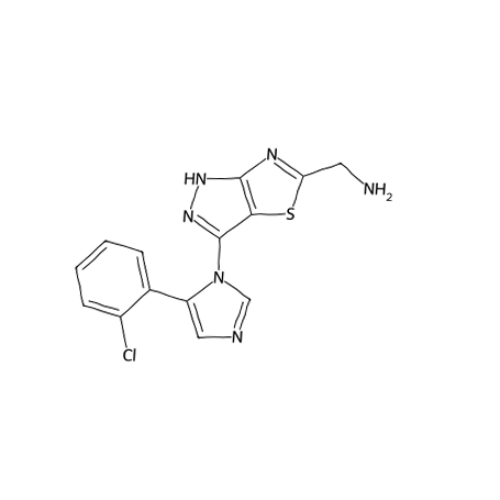 NCc1nc2[nH]nc(-n3cncc3-c3ccccc3Cl)c2s1